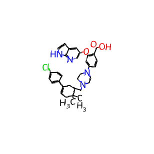 CC1(C)CC=C(c2ccc(Cl)cc2)CC1CN1CCN(c2ccc(C(=O)O)c(Oc3cnc4[nH]ccc4c3)c2)CC1